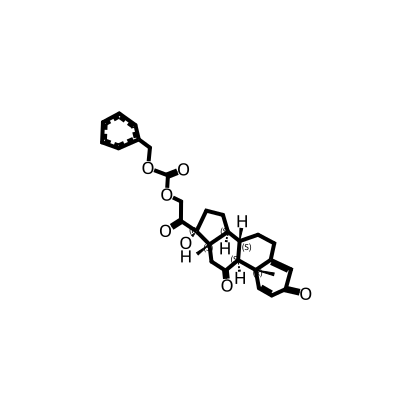 C[C@]12C=CC(=O)C=C1CC[C@@H]1[C@@H]2C(=O)C[C@@]2(C)[C@H]1CC[C@]2(O)C(=O)COC(=O)OCc1ccccc1